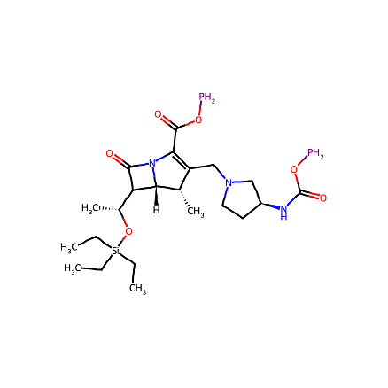 CC[Si](CC)(CC)O[C@H](C)C1C(=O)N2C(C(=O)OP)=C(CN3CC[C@H](NC(=O)OP)C3)[C@H](C)[C@H]12